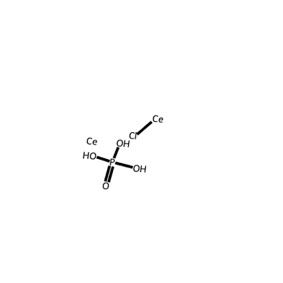 O=P(O)(O)O.[Ce].[Cl][Ce]